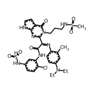 CCN(CC)c1ccc(/N=C(\C(=O)Nc2cc(N[SH](=O)=O)ccc2Cl)c2nc3[nH]ccc3c(=O)n2CCCNS(C)(=O)=O)c(C)c1